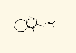 CC(C)=NNc1nnc2c(c1C)CCCCC2